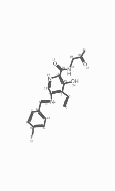 C=Cc1c(/N=C/c2ccc(F)cc2)cnc(C(=O)NCC(C)=O)c1O